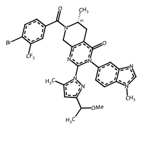 COC(C)c1cc(C)n(-c2nc3c(c(=O)n2-c2ccc4c(c2)ncn4C)C[C@@H](C)N(C(=O)c2ccc(Br)c(C(F)(F)F)c2)C3)n1